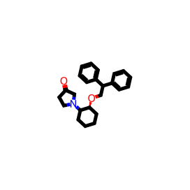 O=C1CCN(C2CCCC[C@@H]2OCC(c2ccccc2)c2ccccc2)C1